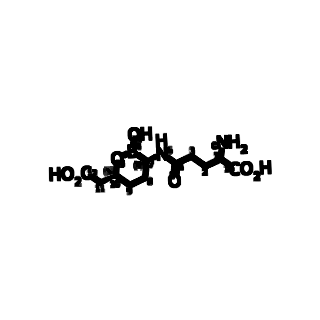 NC(CCC(=O)N[C@H]1CC[C@@H](CC(=O)O)OB1O)C(=O)O